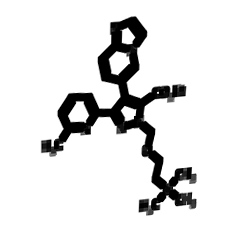 CCOC(=O)c1c(-c2ccc3nccn3c2)c(-c2cccc(C)n2)nn1COCC[Si](C)(C)C